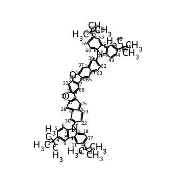 CC(C)(C)c1ccc2c(c1)c1cc(C(C)(C)C)ccc1n2-c1ccc2cc3c(cc2c1)oc1cc2oc4cc5cc(-n6c7ccc(C(C)(C)C)cc7c7cc(C(C)(C)C)ccc76)ccc5cc4c2cc13